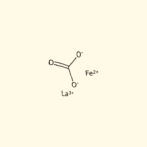 O=C([O-])[O-].[Fe+2].[La+3]